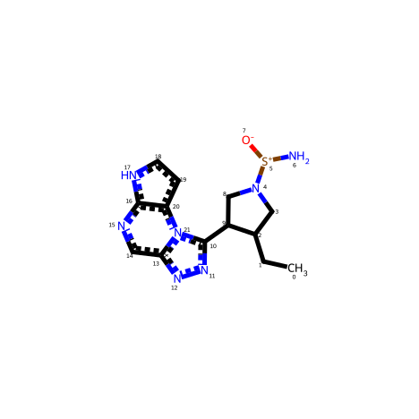 CCC1CN([S+](N)[O-])CC1c1nnc2cnc3[nH]ccc3n12